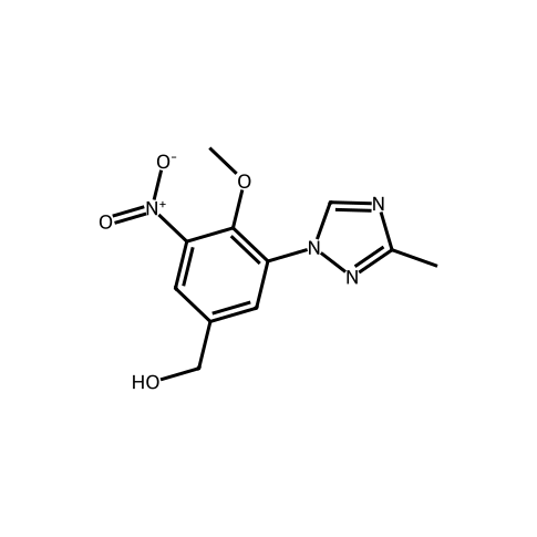 COc1c(-n2cnc(C)n2)cc(CO)cc1[N+](=O)[O-]